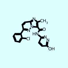 Cc1nc2ccc(-c3ccccc3Cl)nn2c1C(=O)Nc1ccc(O)nn1